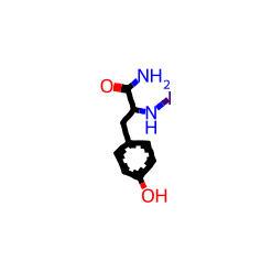 NC(=O)C(Cc1ccc(O)cc1)NI